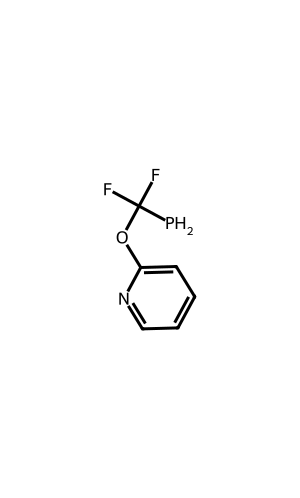 FC(F)(P)Oc1ccccn1